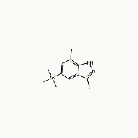 Cc1n[nH]c2c(C)c[c]([Sn]([CH3])([CH3])[CH3])cc12